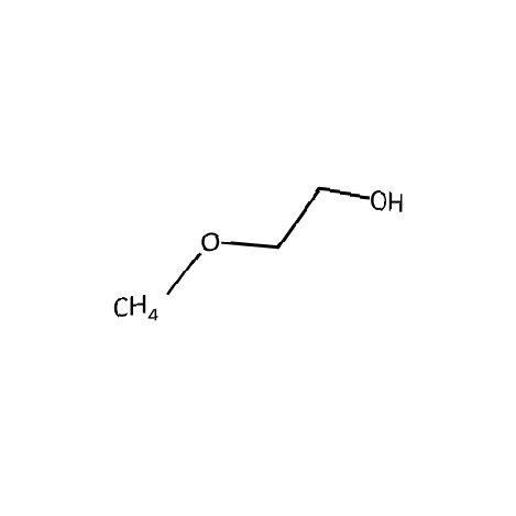 C.COCCO